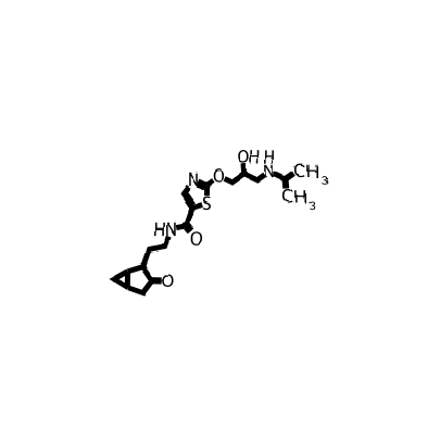 CC(C)NCC(O)COc1ncc(C(=O)NCCC2C(=O)CC3CC32)s1